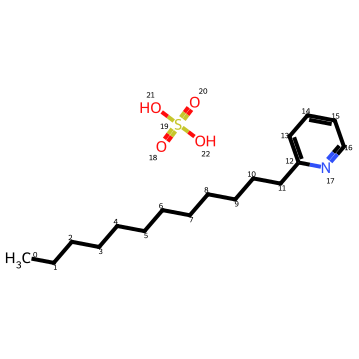 CCCCCCCCCCCCc1ccccn1.O=S(=O)(O)O